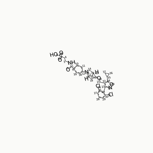 O=C(NCCS(=O)(=O)O)c1ccc(N2C[C@@H]3C[C@H]2C[C@H]3OCc2c(-c3c(Cl)cccc3Cl)noc2C2CC2)cc1